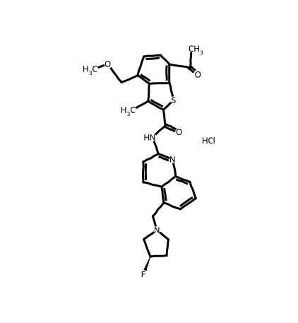 COCc1ccc(C(C)=O)c2sc(C(=O)Nc3ccc4c(CN5CC[C@@H](F)C5)cccc4n3)c(C)c12.Cl